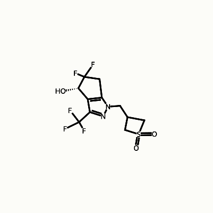 O=S1(=O)CC(Cn2nc(C(F)(F)F)c3c2CC(F)(F)[C@H]3O)C1